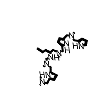 C=C/C=C(/CN(C)Cc1ccc(CN(C)Cc2ccc[nH]2)[nH]1)NCN(C)Cc1ccc(CN(C)C)[nH]1